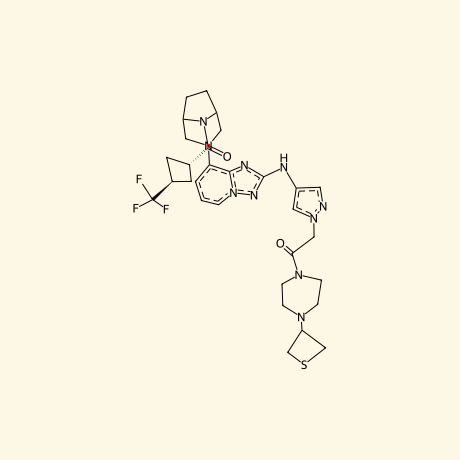 O=C(Cn1cc(Nc2nc3c(N4CC5CCC(C4)N5C(=O)[C@H]4C[C@H](C(F)(F)F)C4)cccn3n2)cn1)N1CCN(C2CSC2)CC1